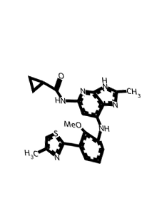 COc1c(Nc2cc(NC(=O)C3CC3)nc3[nH]c(C)nc23)cccc1-c1nc(C)cs1